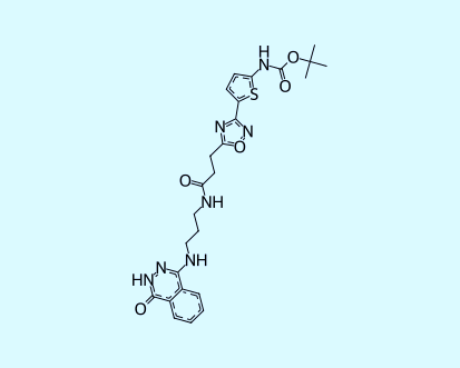 CC(C)(C)OC(=O)Nc1ccc(-c2noc(CCC(=O)NCCCNc3n[nH]c(=O)c4ccccc34)n2)s1